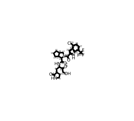 O=C1NCCC1CC(NC(=O)C1C2CCCC2CN1C(=O)c1cc2c(Cl)ccc(C(F)(F)F)c2[nH]1)C(=O)CO